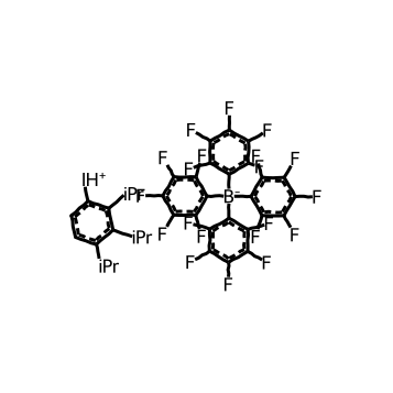 CC(C)c1ccc([IH+])c(C(C)C)c1C(C)C.Fc1c(F)c(F)c([B-](c2c(F)c(F)c(F)c(F)c2F)(c2c(F)c(F)c(F)c(F)c2F)c2c(F)c(F)c(F)c(F)c2F)c(F)c1F